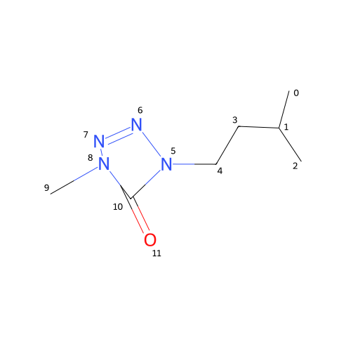 CC(C)CCn1nnn(C)c1=O